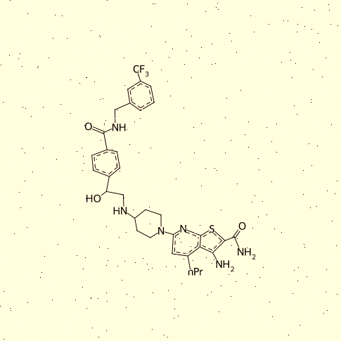 CCCc1cc(N2CCC(NCC(O)c3ccc(C(=O)NCc4cccc(C(F)(F)F)c4)cc3)CC2)nc2sc(C(N)=O)c(N)c12